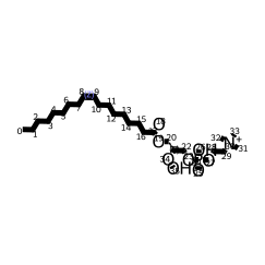 CCCCCCCC/C=C\CCCCCCCC(=O)OC[C@H](COP(=O)(O)OCC[N+](C)(C)C)OO